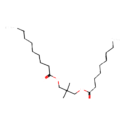 CCCCCCCCCCCCCCCCCC(=O)OCC(C)(C)COC(=O)CCCCCCCCCCCCCCCCC